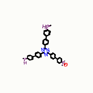 CPc1ccc(-c2ccc(-c3nc(-c4ccc(-c5ccc(PC)cc5)cc4)nc(-c4ccc(-c5ccc(P(C)(C)=O)cc5)cc4)n3)cc2)cc1